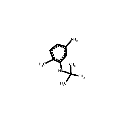 Cc1ccc(N)cc1NC(C)(C)C